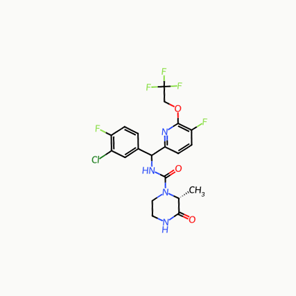 C[C@@H]1C(=O)NCCN1C(=O)NC(c1ccc(F)c(Cl)c1)c1ccc(F)c(OCC(F)(F)F)n1